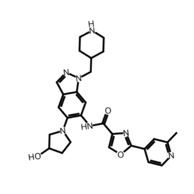 Cc1cc(-c2nc(C(=O)Nc3cc4c(cnn4CC4CCNCC4)cc3N3CCC(O)C3)co2)ccn1